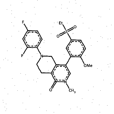 CCS(=O)(=O)c1ccc(OC)c(-c2cn(C)c(=O)c3c2CN(c2ccc(F)cc2F)CC3)c1